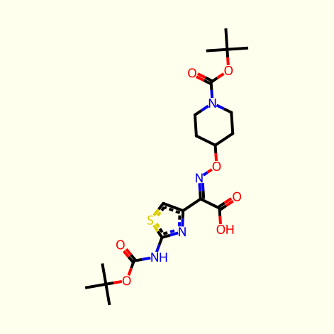 CC(C)(C)OC(=O)Nc1nc(/C(=N/OC2CCN(C(=O)OC(C)(C)C)CC2)C(=O)O)cs1